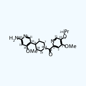 COc1cc(C(=O)N2CCC(c3cnc(N)cc3OC)CC2)ncc1OC(C)C